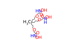 CC(CCCOCC(=O)NO)(CCCOCC(=O)NO)CCCOCC(=O)NO